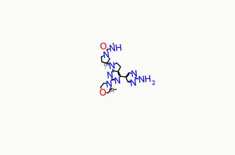 CNC(=O)N1CC[C@](C)(N2CCc3c(-c4cnc(N)nc4)nc(N4CCOC[C@@H]4C)nc32)C1